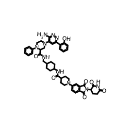 Nc1nnc(-c2ccccc2O)cc1N1CCN(c2ccccc2)C(C(=O)NCC2CCC(NC(=O)C3CCN(c4ccc5c(c4)C(=O)N(C4CCC(=O)NC4=O)C5=O)CC3)CC2)C1